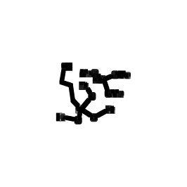 CCO[Si](CCCS)(OCC)OCC.CO[SiH](OC)OC